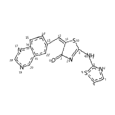 O=C1N=C(Nc2nccs2)SC1=Cc1ccc2ncncc2c1